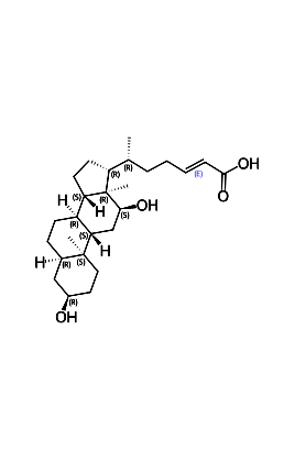 C[C@H](CC/C=C/C(=O)O)[C@H]1CC[C@H]2[C@@H]3CC[C@@H]4C[C@H](O)CC[C@]4(C)[C@H]3C[C@H](O)[C@]12C